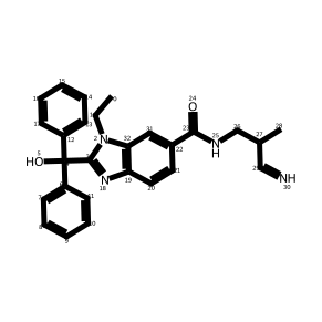 CCn1c(C(O)(c2ccccc2)c2ccccc2)nc2ccc(C(=O)NCC(C)C=N)cc21